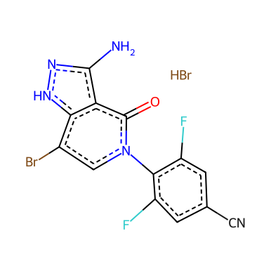 Br.N#Cc1cc(F)c(-n2cc(Br)c3[nH]nc(N)c3c2=O)c(F)c1